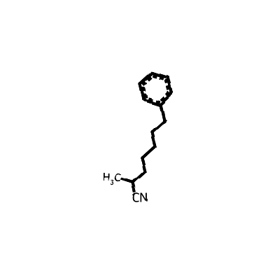 CC(C#N)CCCCCc1ccccc1